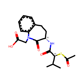 CC(=O)S[C@H](C(=O)N[C@H]1CCc2ccccc2N(CC(=O)O)C1=O)C(C)C